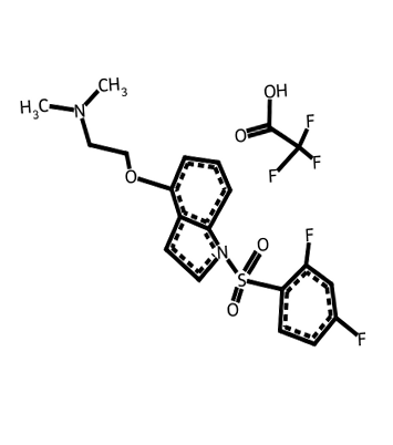 CN(C)CCOc1cccc2c1ccn2S(=O)(=O)c1ccc(F)cc1F.O=C(O)C(F)(F)F